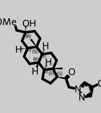 COC[C@@]1(O)CC[C@@]2(C)[C@@H](CC[C@@H]3[C@@H]2CC[C@]2(C)[C@@H](C(=O)Cn4cc(Cl)cn4)CC[C@@H]32)C1